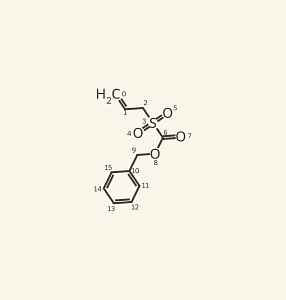 C=CCS(=O)(=O)C(=O)OCc1ccccc1